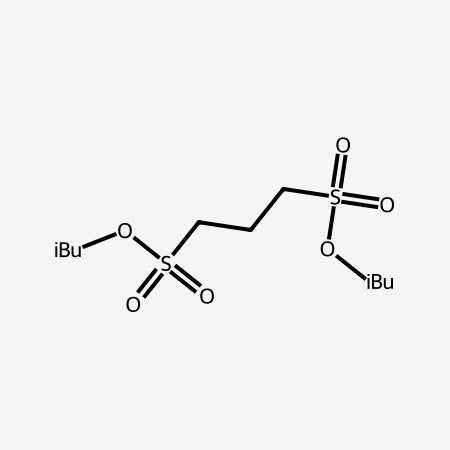 CCC(C)OS(=O)(=O)CCCS(=O)(=O)OC(C)CC